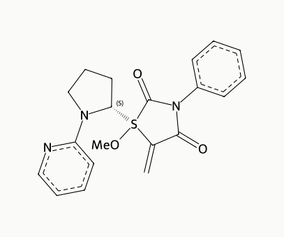 C=C1C(=O)N(c2ccccc2)C(=O)S1(OC)[C@H]1CCCN1c1ccccn1